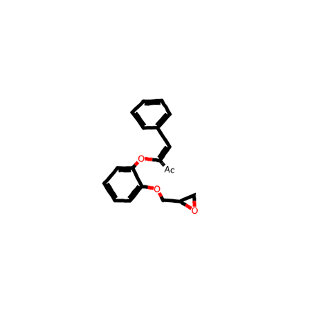 CC(=O)C(=Cc1ccccc1)Oc1ccccc1OCC1CO1